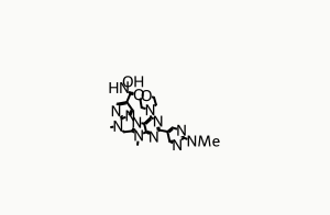 CNc1ncc(-c2nc(N3CCOCC3)c3nc(CN(C)c4ncc(C(=O)NO)cn4)n(C)c3n2)cn1